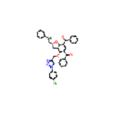 O=C(c1ccccc1)c1cc(C(=O)c2ccccc2)c2c(c1OCc1cn(-c3ccc(Br)cc3)nn1)CC(C[Se]c1ccccc1)O2